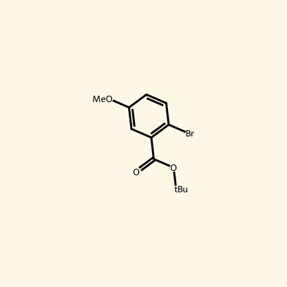 COc1ccc(Br)c(C(=O)OC(C)(C)C)c1